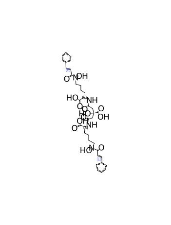 O=C(CC(O)(CC(=O)N[C@@H](CCCCN(O)C(=O)/C=C/c1ccccc1)C(=O)O)C(=O)O)N[C@@H](CCCCN(O)C(=O)/C=C/c1ccccc1)C(=O)O